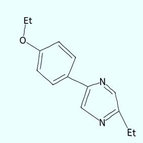 CCOc1ccc(-c2cnc(CC)cn2)cc1